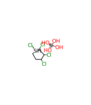 ClC1CC[SiH](Cl)C(Cl)C1Cl.O[Si](O)(O)O